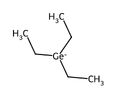 C[CH2][Ge-]([CH2]C)[CH2]C